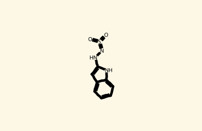 O=S(=O)=NNc1cc2ccccc2[nH]1